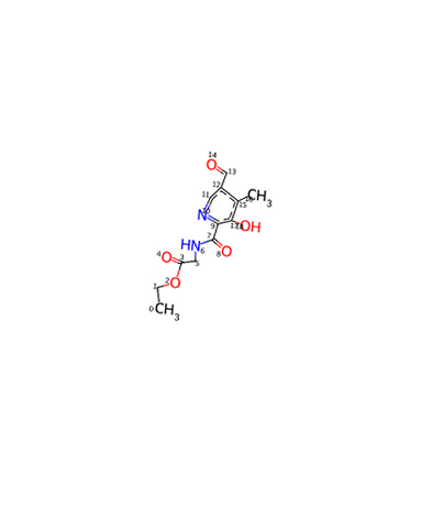 CCOC(=O)CNC(=O)c1ncc(C=O)c(C)c1O